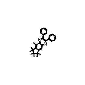 Cc1c2c(cc3nc(-c4ccccc4)c(-c4ccccc4)nc13)C(C)(C)C(C)(C)C2(C)C